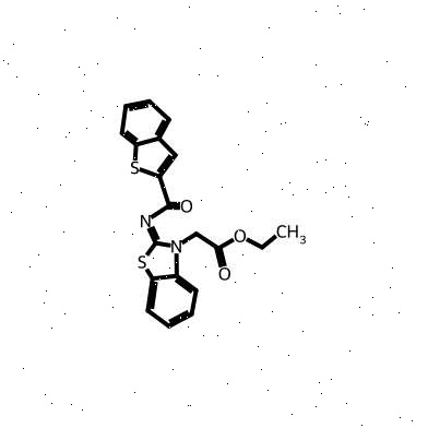 CCOC(=O)Cn1c(=NC(=O)c2cc3ccccc3s2)sc2ccccc21